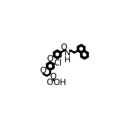 O=C(O)OC1CCOc2cc(Oc3ccc(C(=O)NCCc4cccc5ccccc45)cc3)c(Cl)cc21